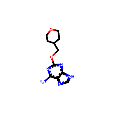 Nc1nc(OCC2CCOCC2)nc2[nH]cnc12